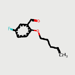 CCCCCOc1ccc(F)cc1C=O